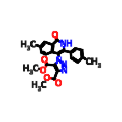 COC(=O)c1nnn(-c2c(-c3ccc(C)cc3)[nH]c(=O)c3cc(C)ccc23)c1C(=O)OC